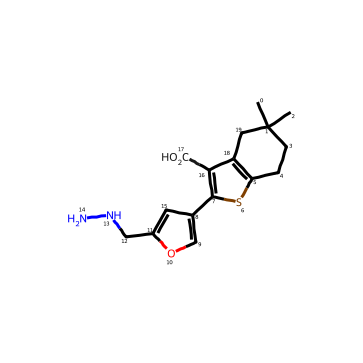 CC1(C)CCc2sc(-c3coc(CNN)c3)c(C(=O)O)c2C1